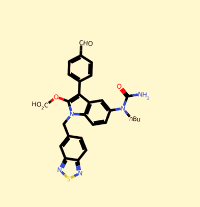 CCCCN(C(N)=O)c1ccc2c(c1)c(-c1ccc(C=O)cc1)c(OC(=O)O)n2Cc1ccc2nsnc2c1